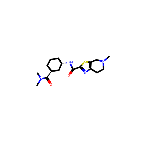 CN1CCc2nc(C(=O)N[C@H]3CCC[C@H](C(=O)N(C)C)C3)sc2C1